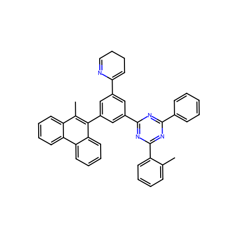 Cc1ccccc1-c1nc(-c2ccccc2)nc(-c2cc(C3=CCCC=N3)cc(-c3c(C)c4ccccc4c4ccccc34)c2)n1